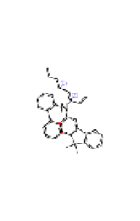 C=C/C=C/C=C(/C=C)N(c1ccc2c(c1)-c1ccccc1C2(C)C)c1ccccc1-c1ccccc1